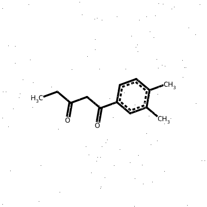 CCC(=O)CC(=O)c1ccc(C)c(C)c1